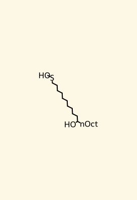 CCCCCCCCC(O)CCCCCCCCCCSO